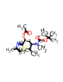 CC(=O)O[C@@H](CC(C(C)C)N(C)C(=O)OC(C)(C)C)c1nc(C)cs1